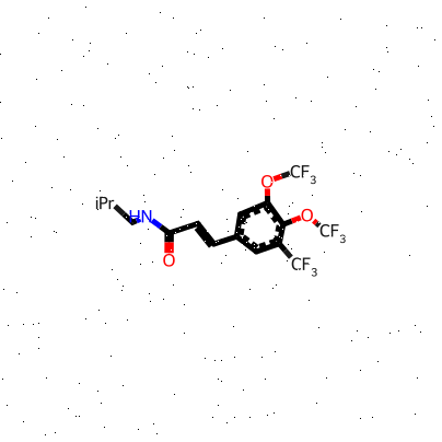 CC(C)CNC(=O)/C=C/c1cc(OC(F)(F)F)c(OC(F)(F)F)c(C(F)(F)F)c1